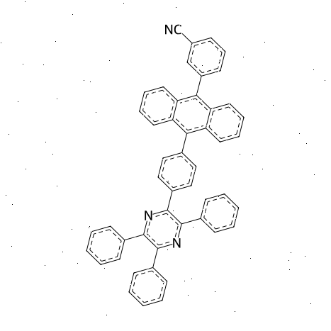 N#Cc1cccc(-c2c3ccccc3c(-c3ccc(-c4nc(-c5ccccc5)c(-c5ccccc5)nc4-c4ccccc4)cc3)c3ccccc23)c1